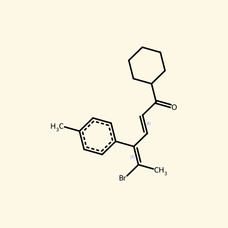 C/C(Br)=C(\C=C\C(=O)C1CCCCC1)c1ccc(C)cc1